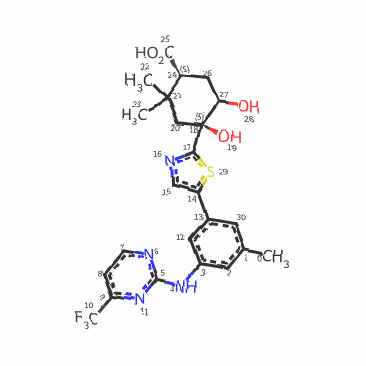 Cc1cc(Nc2nccc(C(F)(F)F)n2)cc(-c2cnc([C@]3(O)CC(C)(C)[C@@H](C(=O)O)CC3O)s2)c1